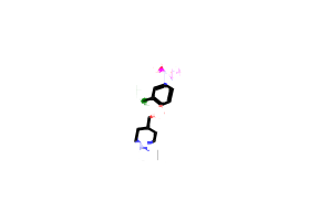 CN1CCC(COc2ccc([N+](=O)[O-])cc2C(F)(F)F)CC1